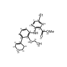 CCc1cnc(Nc2cccc(C3=CCOCC3)c2OCO)c(C(=O)OC)n1